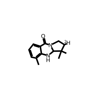 [2H]C1CN2C(=O)c3cccc(C)c3NC2C1(C)C